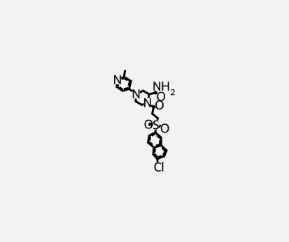 Cc1cc(N2CCN(C(=O)CCS(=O)(=O)c3ccc4cc(Cl)ccc4c3)C(C(N)=O)C2)ccn1